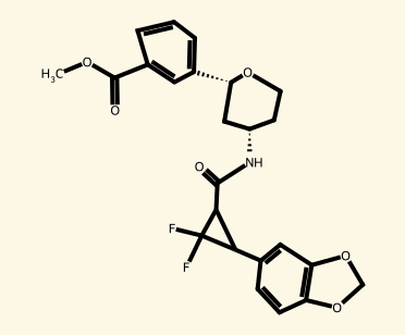 COC(=O)c1cccc([C@H]2C[C@@H](NC(=O)C3C(c4ccc5c(c4)OCO5)C3(F)F)CCO2)c1